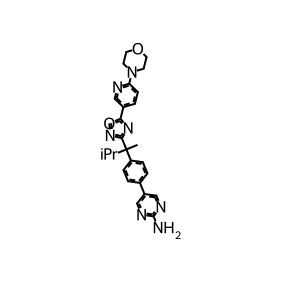 CC(C)C(C)(c1ccc(-c2cnc(N)nc2)cc1)c1noc(-c2ccc(N3CCOCC3)nc2)n1